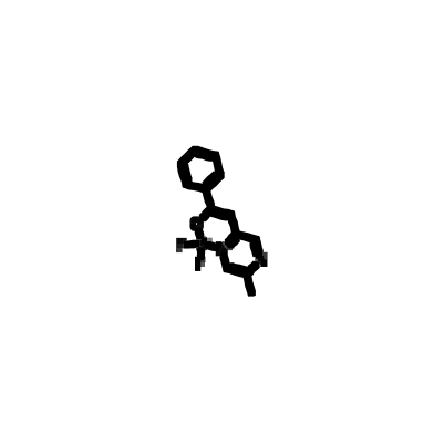 Cc1c[n+]2c(cn1)C=C(c1ccccc1)O[B-]2(F)F